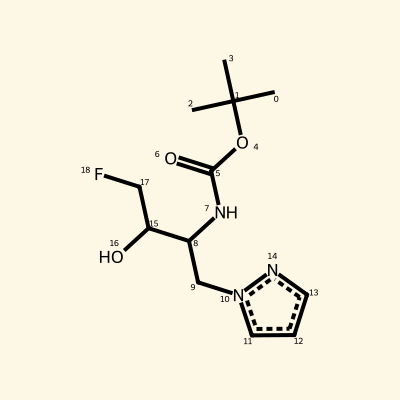 CC(C)(C)OC(=O)NC(Cn1cccn1)C(O)CF